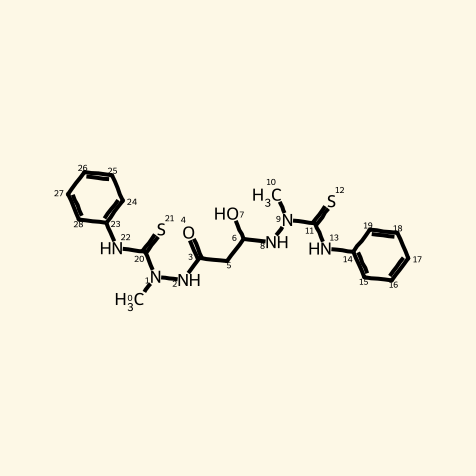 CN(NC(=O)CC(O)NN(C)C(=S)Nc1ccccc1)C(=S)Nc1ccccc1